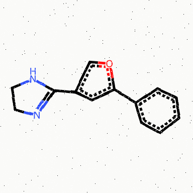 c1ccc(-c2cc(C3=NCCN3)co2)cc1